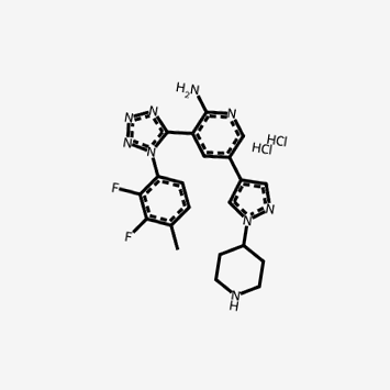 Cc1ccc(-n2nnnc2-c2cc(-c3cnn(C4CCNCC4)c3)cnc2N)c(F)c1F.Cl.Cl